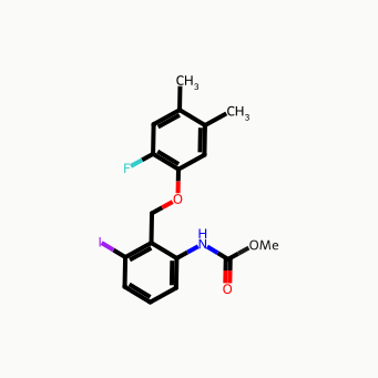 COC(=O)Nc1cccc(I)c1COc1cc(C)c(C)cc1F